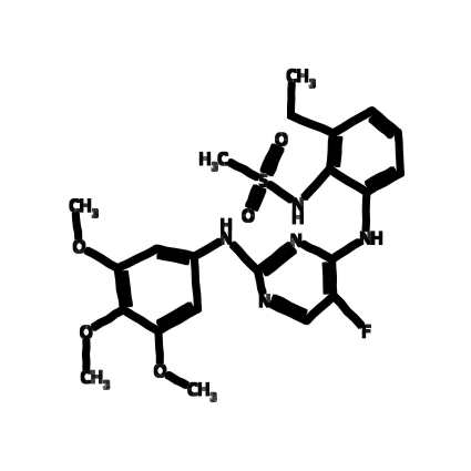 CCc1cccc(Nc2nc(Nc3cc(OC)c(OC)c(OC)c3)ncc2F)c1NS(C)(=O)=O